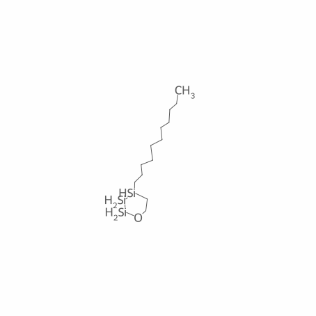 CCCCCCCCCCC[SiH]1CCO[SiH2][SiH2]1